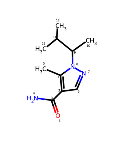 Cc1c(C(N)=O)cnn1C(C)C(C)C